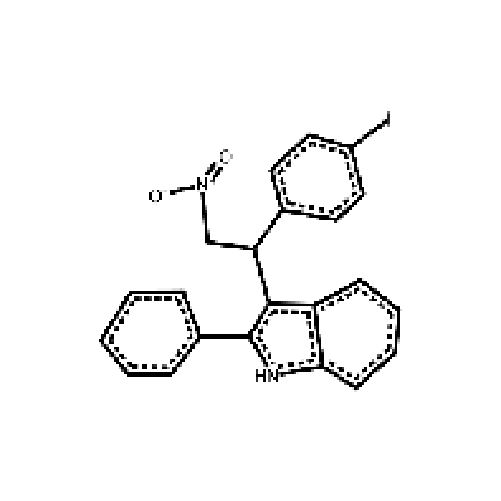 O=[N+]([O-])CC(c1ccc(I)cc1)c1c(-c2ccccc2)[nH]c2ccccc12